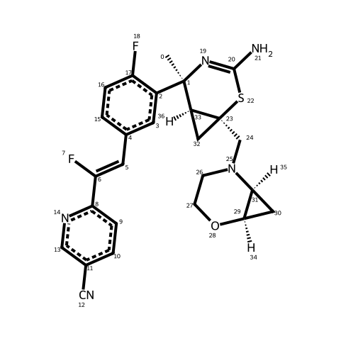 C[C@]1(c2cc(/C=C(\F)c3ccc(C#N)cn3)ccc2F)N=C(N)S[C@@]2(CN3CCO[C@@H]4C[C@@H]43)C[C@H]21